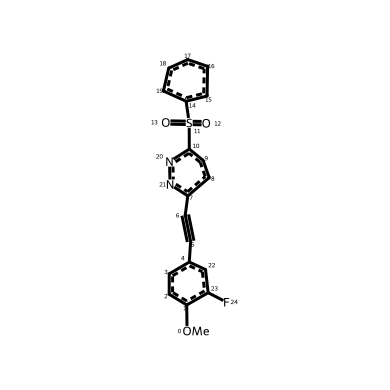 COc1ccc(C#Cc2ccc(S(=O)(=O)c3ccccc3)nn2)cc1F